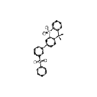 CC1(C)c2ccccc2S(=O)(=O)c2cc(-c3cccc(S(=O)(=O)c4ccccc4)c3)ccc21